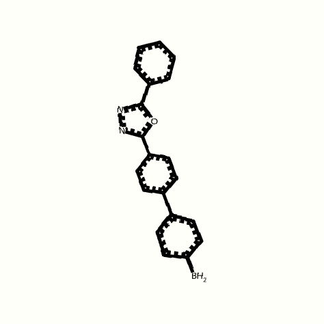 Bc1ccc(-c2ccc(-c3nnc(-c4ccccc4)o3)cc2)cc1